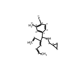 C=C/C(=C\C=C/C)C(NCC1CC1)c1ccc(F)c(N)c1